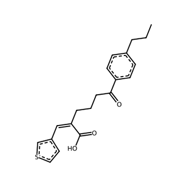 CCCc1ccc(C(=O)CCC/C(=C/c2ccsc2)C(=O)O)cc1